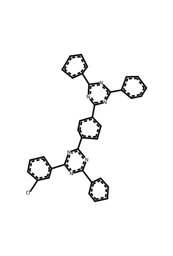 Clc1cccc(-c2nc(-c3ccccc3)nc(-c3ccc(-c4nc(-c5ccccc5)nc(-c5ccccc5)n4)cc3)n2)c1